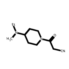 CCN(C)C1CCN(C(=O)CC#N)CC1